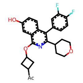 CC(=O)C1CC(Oc2nc(C3CCOCC3)c(-c3ccc(F)c(F)c3)c3ccc(O)cc23)C1